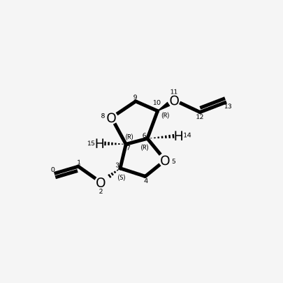 C=CO[C@H]1CO[C@H]2[C@@H]1OC[C@H]2OC=C